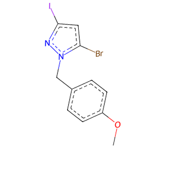 COc1ccc(Cn2nc(I)cc2Br)cc1